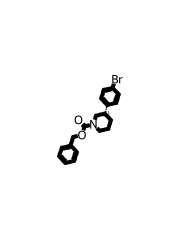 O=C(OCc1ccccc1)N1CCC[C@@H](c2ccc(Br)cc2)C1